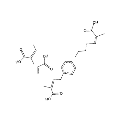 C=CC(=O)O.CC(=CCc1ccccc1)C(=O)O.CC=C(C)C(=O)O.CCCCC=C(C)C(=O)O